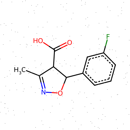 CC1=NOC(c2cccc(F)c2)C1C(=O)O